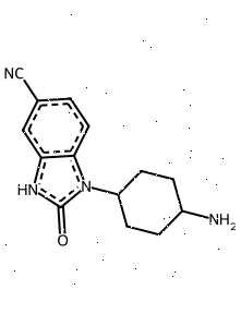 N#Cc1ccc2c(c1)[nH]c(=O)n2C1CCC(N)CC1